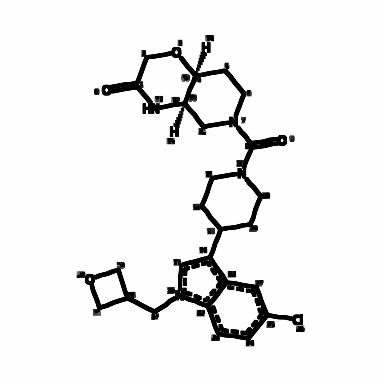 O=C1CO[C@H]2CCN(C(=O)N3CCC(c4cn(CC5COC5)c5ccc(Cl)cc45)CC3)C[C@H]2N1